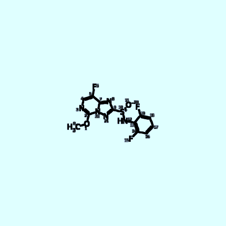 COc1ncc(F)c2nc([S+]([O-])Nc3c(F)cccc3F)nn12